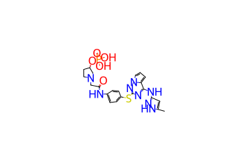 Cc1cc(Nc2nc(Sc3ccc(NC(=O)CN4CC[C@@H](OP(=O)(O)O)C4)cc3)nn3cccc23)n[nH]1